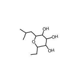 CCC1OC(CC(C)C)C(O)C(O)C1O